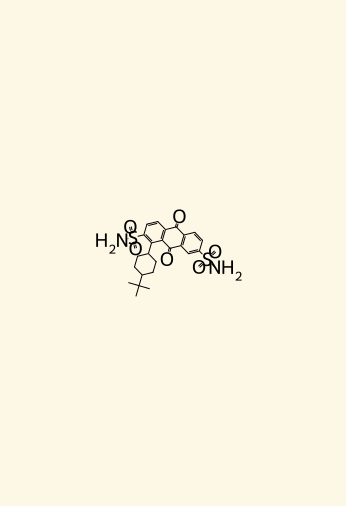 CC(C)(C)C1CCC(c2c(S(N)(=O)=O)ccc3c2C(=O)c2cc(S(N)(=O)=O)ccc2C3=O)CC1